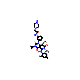 Cc1c(=O)n(C)c(Nc2ccc(I)cc2F)c2c(=O)n(C3CC3)c(=O)n(-c3cccc(NC(=O)CN4CCNCC4)c3)c12